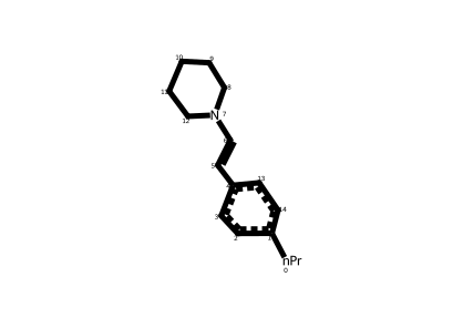 CCCc1ccc(C=CN2CCCCC2)cc1